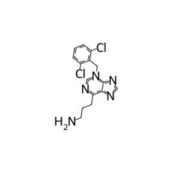 NCCCc1ncn(Cc2c(Cl)cccc2Cl)c2ncnc1-2